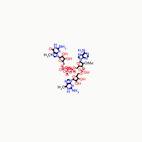 C=C1NC(N)=Nc2c1ncn2[C@@H]1OC(COP(=O)(O)O[C@@H]2C(COP(=O)(O)OP(=O)(O)OP(=O)(O)OC[C@H]3OC(n4c[n+](C)c5c(=O)[nH]c(N)nc54)[C@H](O)[C@@H]3O)O[C@@H](n3cnc4c(N)ncnc43)[C@@H]2OC)[C@@H](O)[C@H]1O